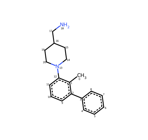 Cc1c(-c2ccccc2)cccc1N1CCC(CN)CC1